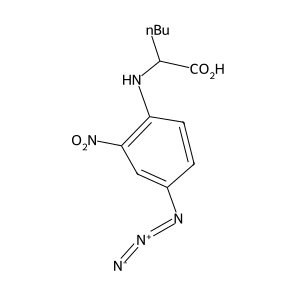 CCCCC(Nc1ccc(N=[N+]=[N-])cc1[N+](=O)[O-])C(=O)O